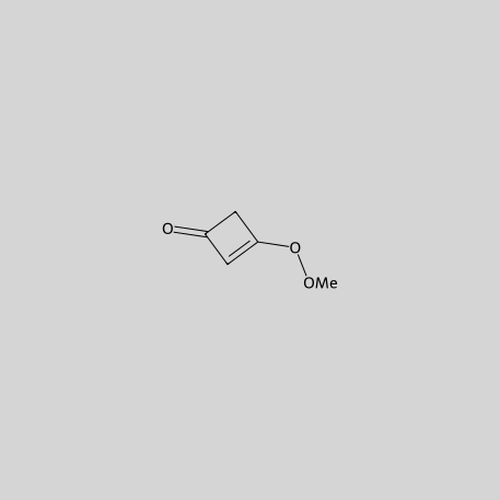 COOC1=CC(=O)C1